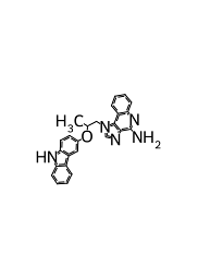 CC(Cn1cnc2c(N)nc3ccccc3c21)Oc1ccc2[nH]c3ccccc3c2c1